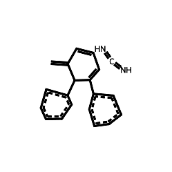 C=C1C=CC=C(c2ccccc2)C1c1ccccc1.N=C=N